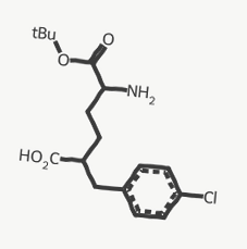 CC(C)(C)OC(=O)C(N)CCC(Cc1ccc(Cl)cc1)C(=O)O